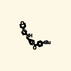 CC(C)(C)c1ccc(C(=O)N2CC3C(CNC4CCN(C5CCOCC5)C4)C3C2)cc1